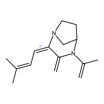 C=C(C)N1C(=C)/C(=C\C=C(C)C)N2CCC1C2